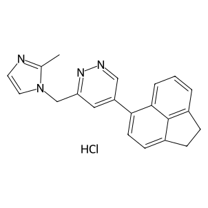 Cc1nccn1Cc1cc(-c2ccc3c4c(cccc24)CC3)cnn1.Cl